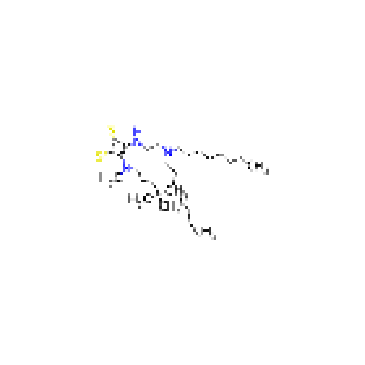 CCCCCCCCN(CCCCCCCC)CCNc1c(N(C)CCCC(C)(C)C)c(=S)c1=S